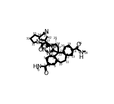 CNC(=O)c1ccc2c(c1)CCc1cc(C(=O)NC)ccc1C2(C[C@@H](C)NCC(=O)N1CCCC1C#N)c1nnc(C(C)C)[nH]1